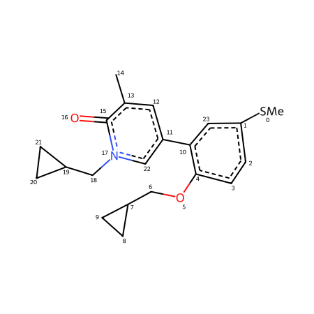 CSc1ccc(OCC2CC2)c(-c2cc(C)c(=O)n(CC3CC3)c2)c1